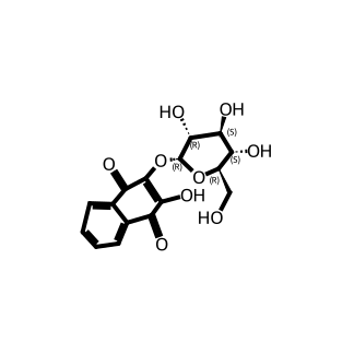 O=C1C(O)=C(O[C@H]2O[C@H](CO)[C@@H](O)[C@H](O)[C@H]2O)C(=O)c2ccccc21